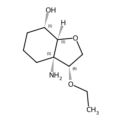 CCO[C@H]1CO[C@@H]2[C@@H](O)CCC[C@]12N